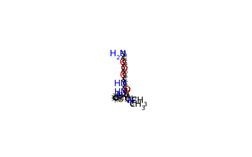 CC(C)N1CCc2c(sc(NC(=O)CCNCCCOCCOCCOCCCN)c2-c2nc3ccccc3s2)C1